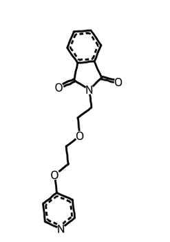 O=C1c2ccccc2C(=O)N1CCOCCOc1ccncc1